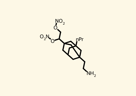 CCCC12CC3CC(CCN)(C1)CC(C(CO[N+](=O)[O-])O[N+](=O)[O-])(C3)C2